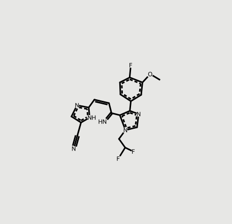 COc1cc(-c2ncn(CC(F)F)c2C(=N)/C=C\c2ncc(C#N)[nH]2)ccc1F